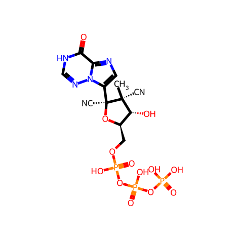 C[C@@]1(C#N)[C@H](O)[C@@H](COP(=O)(O)OP(=O)(O)OP(=O)(O)O)O[C@@]1(C#N)c1cnc2c(=O)[nH]cnn12